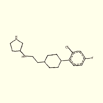 Fc1ccc(C2CCC(CCNC3CCNC3)CC2)c(Cl)c1